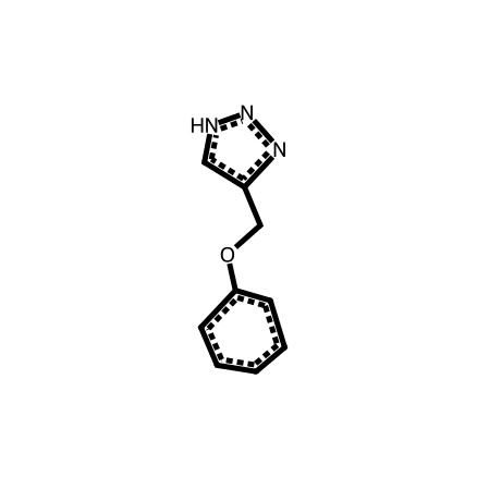 c1ccc(OCc2c[nH]nn2)cc1